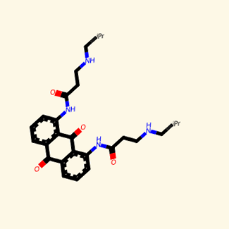 CC(C)CNCCC(=O)Nc1cccc2c1C(=O)c1c(NC(=O)CCNCC(C)C)cccc1C2=O